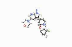 Cc1cccc(Cn2ccc(-c3c[nH]c4ncc(N5CCOCC5)cc34)cc2=O)c1F